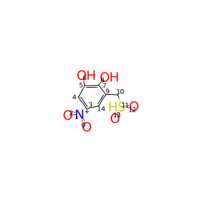 O=[N+]([O-])c1cc(O)c(O)c(C[SH](=O)=O)c1